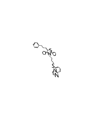 O=C1S/C(=C/CCc2ccccc2)C(=O)N1CCCCSc1cccc2nccn12